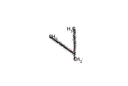 [CH2]CCCCC(CCCCCCCCCCCCCCCCCCCCCC)CCCCCCCCCCCCCCCCCCCCCCCCCC